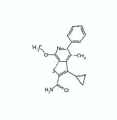 COc1nc(-c2ccccc2)c(C)c2c(C3CC3)c(C(N)=O)sc12